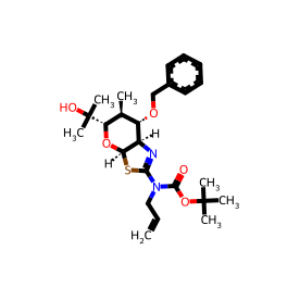 C=CCN(C(=O)OC(C)(C)C)C1=N[C@@H]2[C@@H](OCc3ccccc3)[C@H](C)[C@@H](C(C)(C)O)O[C@@H]2S1